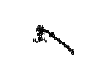 CC(=O)SCCOCCOCCOCCOCCOCCOCCOCCOCCC(=O)NCCCOc1ccc(NC(=O)[C@H](CC(=O)O)NC(=O)CNC(=O)c2cccc(N=C(N)N)c2)cc1